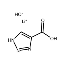 O=C(O)c1c[nH]nn1.[Li+].[OH-]